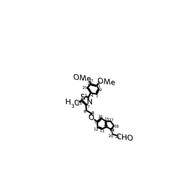 COc1ccc(-c2nc(CCOc3ccc4c(c3)CC[C@H]4CC=O)c(C)s2)cc1OC